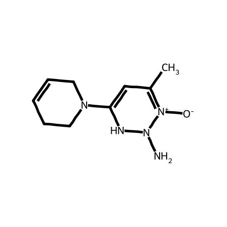 CC1=[N+]([O-])N(N)NC(N2CC=CCC2)=C1